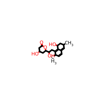 CC1C=C2C=CC(C)C(CC(O)C3CC(O)CC(=O)O3)=C2C(O)C1